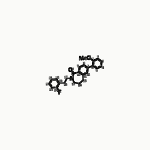 COc1ccccc1-c1ccc2c(c1)CCCN(CCc1ccccc1F)C2=O